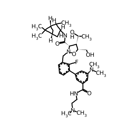 C[C@@H]1[C@@H](NC(=O)[C@@H]2[C@H]([C@H](C)O)[C@H](CO)ON2Cc2cccc(-c3cc(C(=O)NCCN(C)C)cc(N(C)C)c3)c2F)C[C@H]2C[C@@H]1C2(C)C